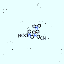 N#Cc1ccc(-n2c3ccccc3c3c(-n4c5ccccc5c5cc(C#N)ccc54)cccc32)c(-c2ccc(-n3c4ccccc4c4ccccc43)cc2)c1